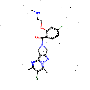 CNCCOc1cc(F)ccc1C(=O)N1Cc2nn3c(C)c(Cl)c(C)nc3c2C1